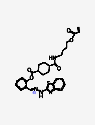 C=CC(=O)OCCCCNC(=O)C1CCC(C(=O)Oc2ccccc2/C=N/Nc2nc3ccccc3s2)CC1